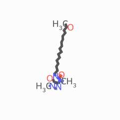 CC(=O)CCCCCCCCCCCCCCCn1c(=O)c2c(ncn2C)n(C)c1=O